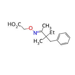 CCC(C)(Cc1ccccc1)/C(C)=N/OCC(=O)O